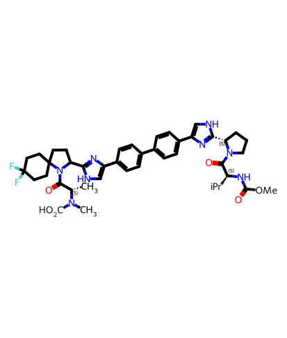 COC(=O)N[C@H](C(=O)N1CCC[C@H]1c1nc(-c2ccc(-c3ccc(-c4c[nH]c(C5CCC6(CCC(F)(F)CC6)N5C(=O)[C@H](C)N(C)C(=O)O)n4)cc3)cc2)c[nH]1)C(C)C